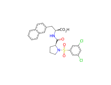 O=C(O)[C@H](Cc1ccc2ccccc2c1)NC(=O)[C@@H]1CCCN1S(=O)(=O)c1cc(Cl)cc(Cl)c1